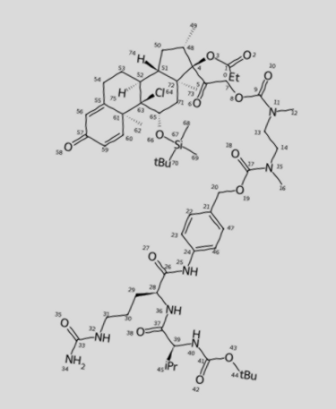 CCC(=O)O[C@]1(C(=O)COC(=O)N(C)CCN(C)C(=O)OCc2ccc(NC(=O)[C@H](CCCNC(N)=O)NC(=O)[C@@H](NC(=O)OC(C)(C)C)C(C)C)cc2)[C@@H](C)C[C@H]2[C@@H]3CCC4=CC(=O)C=C[C@]4(C)[C@@]3(Cl)[C@@H](O[Si](C)(C)C(C)(C)C)C[C@@]21C